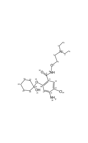 CCN(CC)CCONC(=O)c1cc(Cl)c(N)cc1OC1(O)CCCCC1